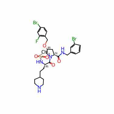 CS(=O)(=O)N[C@H](CCC1CCNCC1)C(=O)N1C[C@H](OCc2ccc(Br)cc2F)C[C@H]1C(=O)NCc1cccc(Br)c1